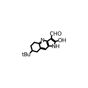 CC(C)(C)C1CCc2nc3c(C=O)c(O)[nH]c3cc2C1